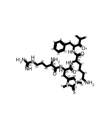 CC(C)C(=O)C(Cc1ccccc1)NC(=O)C(CCCCN)NC(=O)C(Cc1cn(C)c(=S)n1C)NC(=O)C(N)CCCNC(=N)N